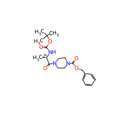 C[C@@H](NC(=O)OC(C)(C)C)C(=O)N1CCN(C(=O)OCc2ccccc2)CC1